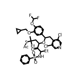 CCC(NS(=O)(=O)c1ccccc1)C(=O)C(CC(C)(CC)SC(C)=O)OC(Cc1c(Cl)cncc1Cl)c1ccc(OC(F)F)c(OCC2CC2)c1